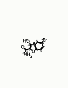 NC(=O)c1oc2ccc(Br)cc2c1O